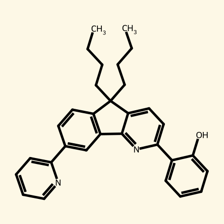 CCCCC1(CCCC)c2ccc(-c3ccccn3)cc2-c2nc(-c3ccccc3O)ccc21